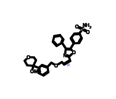 COC1(c2cccc(COC/C=C\c3nc(-c4ccccc4)c(-c4ccc(S(N)(=O)=O)cc4)o3)c2)CCOCC1